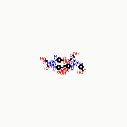 O=C(O)CN(CC(=O)O)c1nc(Nc2ccc(C(=O)O)cc2)nc(Nc2ccc(/C=C/c3ccc(Nc4nc(Nc5ccc(C(=O)O)cc5)nc(N(CC(=O)O)CC(=O)O)n4)cc3S(=O)(=O)O)c(S(=O)(=O)O)c2)n1